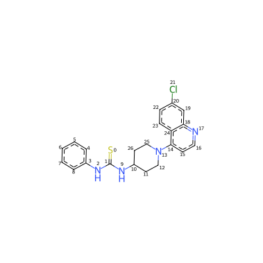 S=C(Nc1ccccc1)NC1CCN(c2ccnc3cc(Cl)ccc23)CC1